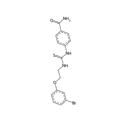 NC(=O)c1ccc(NC(=S)NCCOc2cccc(Br)c2)cc1